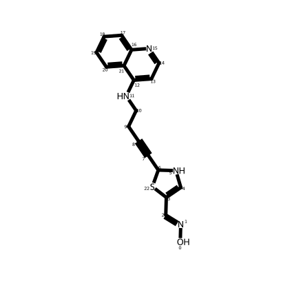 O/N=C/C1=CNC(C#CCCNc2ccnc3ccccc23)S1